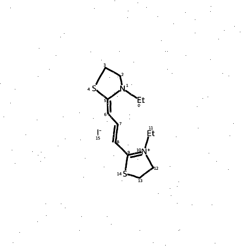 CCN1CCS/C1=C/C=C/C1=[N+](CC)CCS1.[I-]